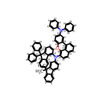 CC1(C)c2ccccc2-c2ccc(N(c3cccc4c3-c3ccccc3C4(c3ccccc3)c3ccccc3)c3ccc4cccc5c4c3Oc3ccc(N(c4ccccc4)c4ccccc4)cc3-5)cc21